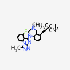 Cc1nnc2nc(N3CCN(C)Cc4c(C#CC(C)(C)C#N)cccc43)c3c(F)cccc3n12